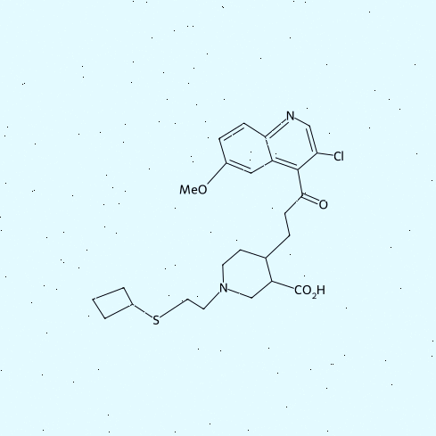 COc1ccc2ncc(Cl)c(C(=O)CCC3CCN(CCSC4CCC4)CC3C(=O)O)c2c1